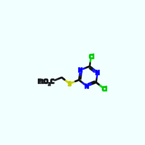 CCOC(=O)CSc1nc(Cl)nc(Cl)n1